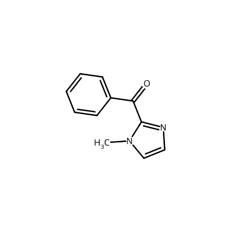 Cn1ccnc1C(=O)c1ccccc1